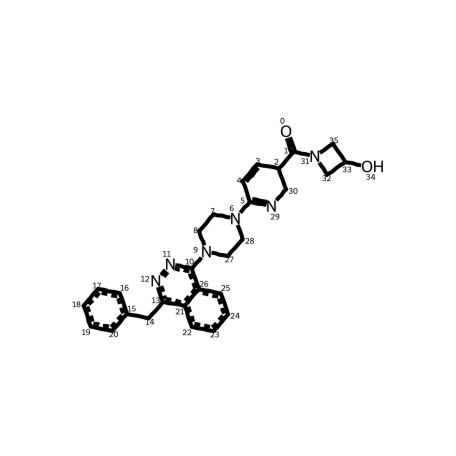 O=C(C1C=CC(N2CCN(c3nnc(Cc4ccccc4)c4ccccc34)CC2)=NC1)N1CC(O)C1